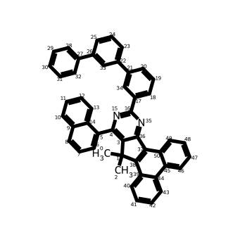 CC1(C)c2c(-c3cccc4ccccc34)nc(-c3cccc(-c4cccc(-c5ccccc5)c4)c3)nc2-c2c1c1ccccc1c1ccccc21